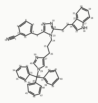 N#Cc1cccc(Cc2nnc(CCc3c[nH]c4ccccc34)n2CCCc2cn(C(c3ccccc3)(c3ccccc3)c3ccccc3)cn2)c1